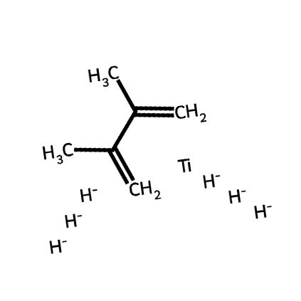 C=C(C)C(=C)C.[H-].[H-].[H-].[H-].[H-].[H-].[Ti]